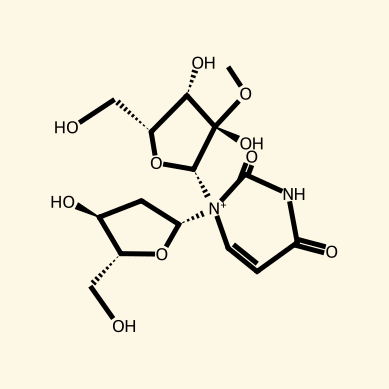 CO[C@]1(O)[C@H]([N+]2([C@H]3C[C@H](O)[C@@H](CO)O3)C=CC(=O)NC2=O)O[C@H](CO)[C@@H]1O